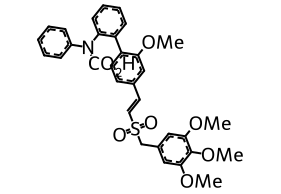 COc1cc(/C=C/S(=O)(=O)Cc2cc(OC)c(OC)c(OC)c2)ccc1-c1ccccc1N(C(=O)O)c1ccccc1